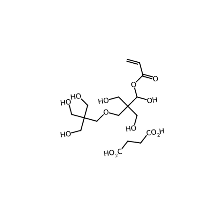 C=CC(=O)OC(O)C(CO)(CO)COCC(CO)(CO)CO.O=C(O)CCC(=O)O